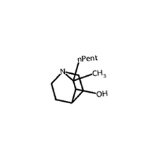 CCCCCC1(C)C(O)C2CCN1CC2